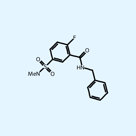 CNS(=O)(=O)c1ccc(F)c(C(=O)NCc2ccccc2)c1